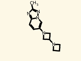 Cc1nc2ccc(N3CC(N4CCC4)C3)cn2n1